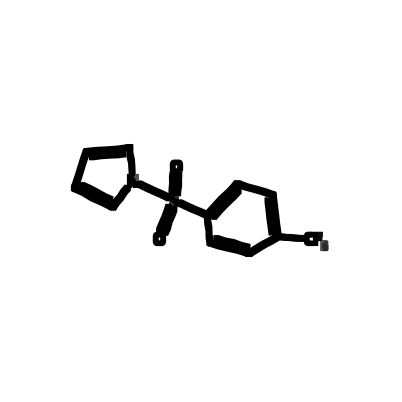 O=S(=O)(c1ccc(C(F)(F)F)cc1)n1cccc1